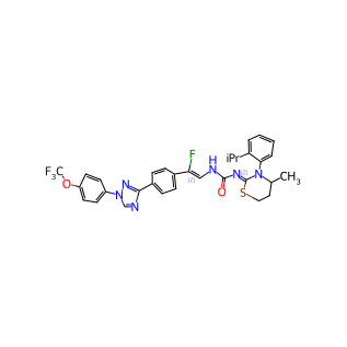 CC(C)c1ccccc1N1/C(=N/C(=O)N/C=C(\F)c2ccc(-c3ncn(-c4ccc(OC(F)(F)F)cc4)n3)cc2)SCCC1C